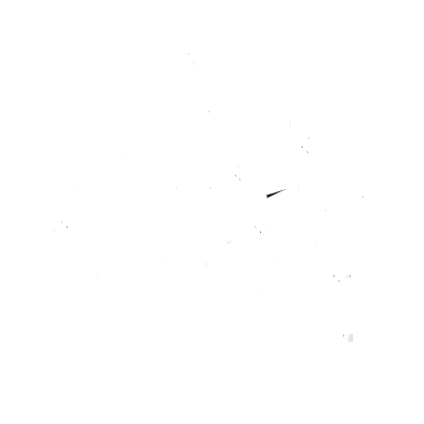 CNc1ccc(-n2c([C@@H]3CCCC(=O)N3c3ccc(F)c(F)c3)nc3cc(-c4c(C)noc4C)ccc32)cn1